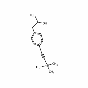 CC(O)Cc1ccc(C#C[Si](C)(C)C)nc1